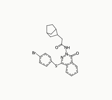 O=C(CC1CC2CCC1C2)Nn1nc(Sc2ccc(Br)cc2)c2ccccc2c1=O